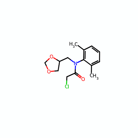 Cc1cccc(C)c1N(CC1COCO1)C(=O)CCl